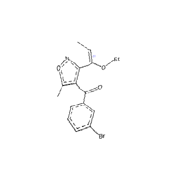 C/C=C(/OCC)c1noc(C)c1C(=O)c1cccc(Br)c1